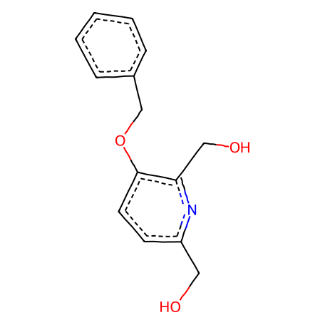 OCc1ccc(OCc2ccccc2)c(CO)n1